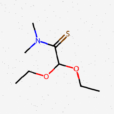 CCOC(OCC)C(=S)N(C)C